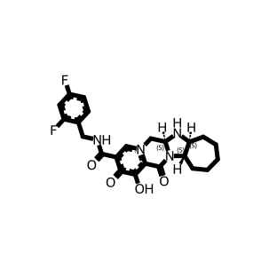 O=C(NCc1ccc(F)cc1F)c1cn2c(c(O)c1=O)C(=O)N1[C@@H](C2)N[C@H]2CCCCC[C@@H]21